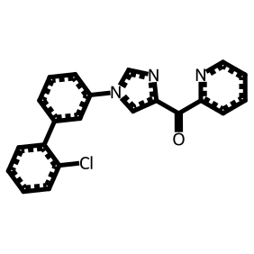 O=C(c1ccccn1)c1cn(-c2cccc(-c3ccccc3Cl)c2)cn1